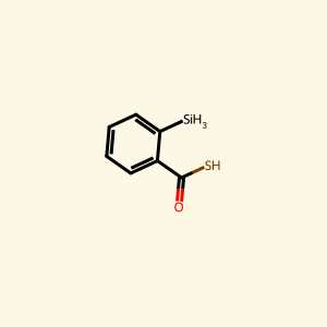 O=C(S)c1ccccc1[SiH3]